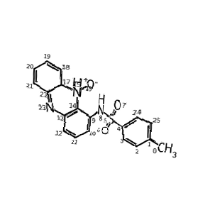 Cc1ccc(S(=O)(=O)Nc2cccc3c2[NH+]([O-])C2C=CC=CC2=N3)cc1